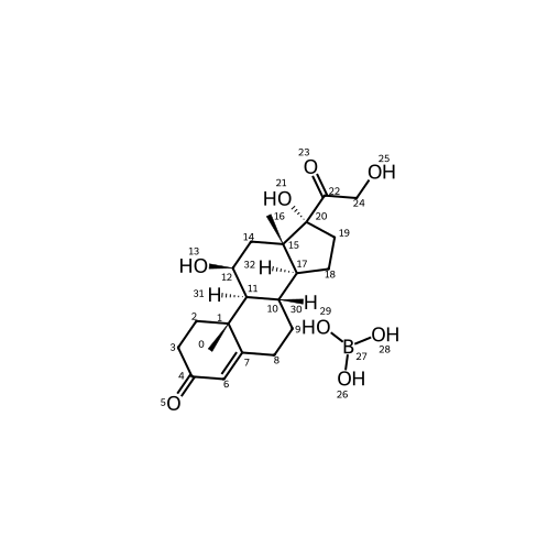 C[C@]12CCC(=O)C=C1CC[C@@H]1[C@@H]2[C@@H](O)C[C@@]2(C)[C@H]1CC[C@]2(O)C(=O)CO.OB(O)O